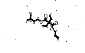 C=CCOC(=O)C(CC)(CC)C(=O)OCCC(C)C